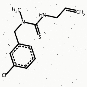 C=CCNC(=S)N(C)Cc1cccc(Cl)c1